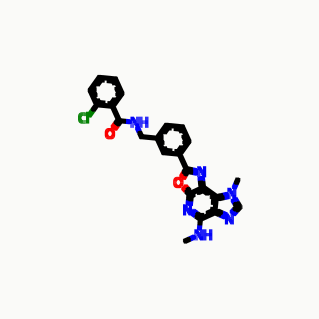 CNc1nc2oc(-c3cccc(CNC(=O)c4ccccc4Cl)c3)nc2c2c1ncn2C